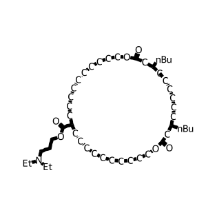 CCCCC1CCCCCCC(CCCC)CC(=O)OCCCCCCCCCCC(C(=O)OCCCN(CC)CC)CCCCCCCCCCOC(=O)C1